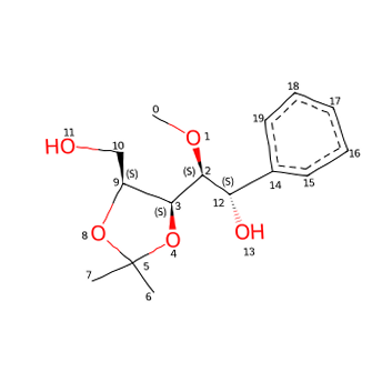 CO[C@H]([C@H]1OC(C)(C)O[C@H]1CO)[C@@H](O)c1ccccc1